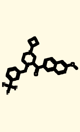 COc1ccc2cc(C(=O)C3CN(C4CCC4)CCN3Cc3cccc(C(F)(F)F)c3)ccc2c1